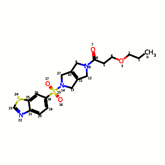 CCCOCCC(=O)N1CC2=C(C1)CN(S(=O)(=O)c1ccc3ncsc3c1)C2